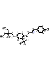 NC(CO)(CO)CCc1ccc(OC/C=C/c2ccc(Cl)cc2)c(C(F)(F)F)c1